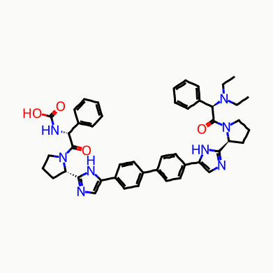 CCN(CC)[C@@H](C(=O)N1CCC[C@H]1c1ncc(-c2ccc(-c3ccc(-c4cnc([C@@H]5CCCN5C(=O)[C@H](NC(=O)O)c5ccccc5)[nH]4)cc3)cc2)[nH]1)c1ccccc1